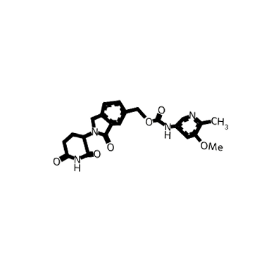 COc1cc(NC(=O)OCc2ccc3c(c2)C(=O)N(C2CCC(=O)NC2=O)C3)cnc1C